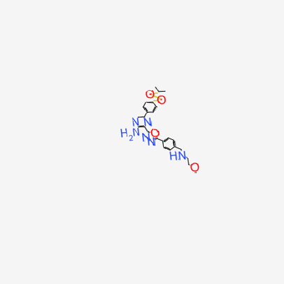 COCCNCc1ccc(-c2nnc(-c3nc(-c4ccc(S(=O)(=O)C(C)C)cc4)cnc3N)o2)cc1